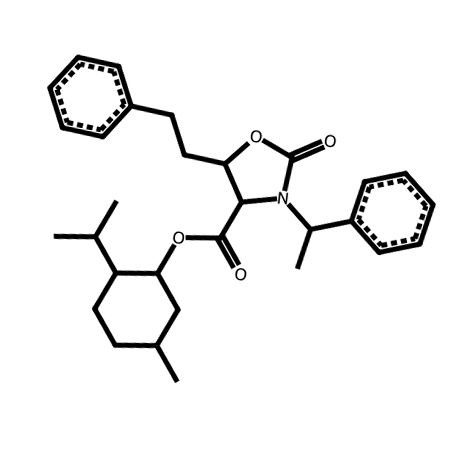 CC1CCC(C(C)C)C(OC(=O)C2C(CCc3ccccc3)OC(=O)N2C(C)c2ccccc2)C1